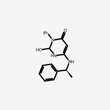 CC(C)N1C(=O)C=C(N[C@@H](C)c2ccccc2)NC1O